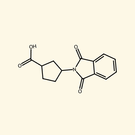 O=C(O)C1CCC(N2C(=O)c3ccccc3C2=O)C1